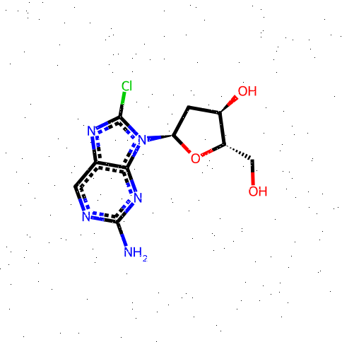 Nc1ncc2nc(Cl)n([C@H]3C[C@@H](O)[C@H](CO)O3)c2n1